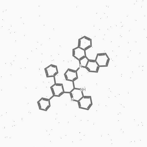 c1ccc(-c2cc(C3=Nc4ccccc4NC3c3cccc(-n4c5ccc6ccccc6c5c5c6ccccc6ccc54)c3)cc(-c3ccccc3)c2)cc1